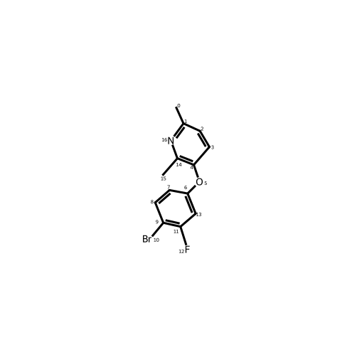 Cc1ccc(Oc2ccc(Br)c(F)c2)c(C)n1